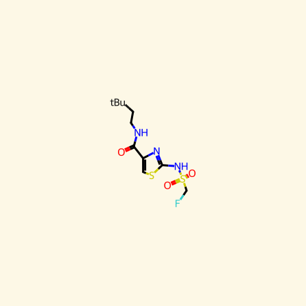 CC(C)(C)CCNC(=O)c1csc(NS(=O)(=O)CF)n1